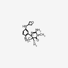 CN1C(=O)C(C)(C)[C@@](C)(c2cc(NC3COC3)ccc2F)N=C1N